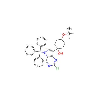 CC(C)(C)[Si](C)(C)OC1CCC(O)(c2cn(C(c3ccccc3)(c3ccccc3)c3ccccc3)c3cnc(Cl)nc23)CC1